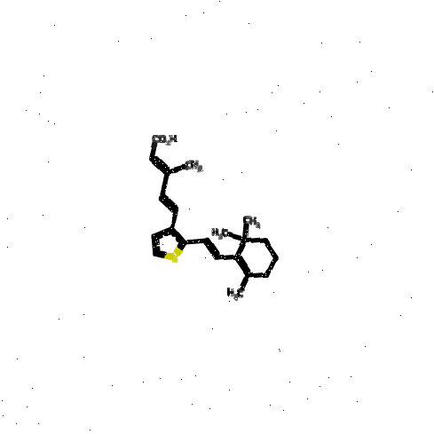 CC1=C(C=Cc2sccc2/C=C/C(C)=C/C(=O)O)C(C)(C)CCC1